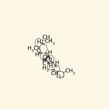 Cc1cccc2c1C[C@H]1[C@]3(C)CC[C@@H]4[C@](C)(CC[C@@H]5O[C@@]6(C)CCCC(C)(C)[C@@H]6CC[C@@]45C)[C@H]3CC[C@]21C